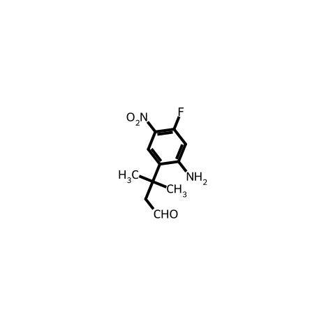 CC(C)(CC=O)c1cc([N+](=O)[O-])c(F)cc1N